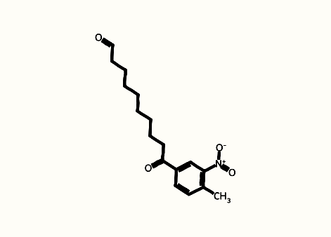 Cc1ccc(C(=O)CCCCCCCCC=O)cc1[N+](=O)[O-]